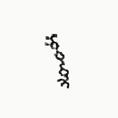 CCC(F)(CC)CN1CCC(COc2ccc(-c3ccc(C(=O)O)c(F)c3)nc2)CC1